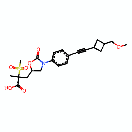 COCC1CC(C#Cc2ccc(N3CC(CC(C)(C(=O)O)S(C)(=O)=O)OC3=O)cc2)C1